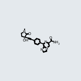 CN1CC[C@](O)(C#Cc2ccc(-c3nc(C(N)=O)cn4ccnc34)cc2)C1=O